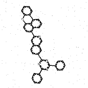 c1ccc(-c2nc(-c3ccccc3)nc(-c3ccc4cc(-c5ccc6c7c(cccc57)-c5ccccc5O6)ncc4c3)n2)cc1